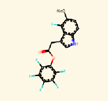 COc1ccc2[nH]cc(CC(=O)Oc3c(F)c(F)c(F)c(F)c3F)c2c1F